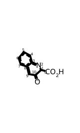 O=C(O)C1N=c2ccccc2=CC1=O